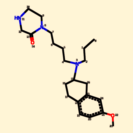 CCCN(CCCCN1CCNCC1=O)C1CCc2ccc(OC)cc2C1